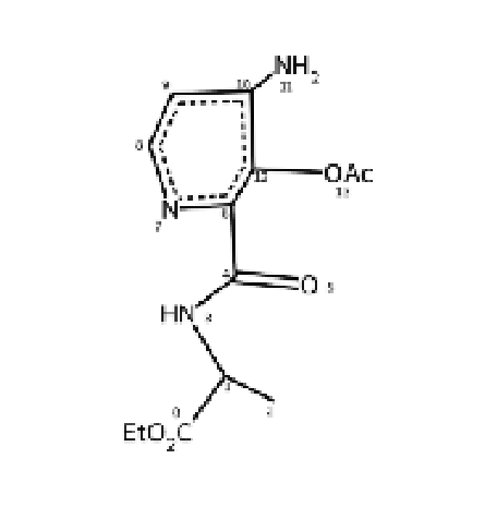 CCOC(=O)C(C)NC(=O)c1nccc(N)c1OC(C)=O